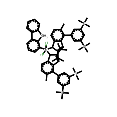 Cc1ccc2c(c1-c1cc([Si](C)(C)C)cc([Si](C)(C)C)c1)C=C(C(C)C)[CH]2[Zr]([Cl])([Cl])([c]1cccc2c1[SiH2]c1ccccc1-2)[CH]1C(C(C)C)=Cc2c1ccc(C)c2-c1cc([Si](C)(C)C)cc([Si](C)(C)C)c1